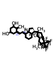 C=C1/C(=C\C=C2/CCC[C@]3(C)[C@@H]([C@@](C)(CC#CC(O)(C(F)(F)F)C(F)(F)F)CCCC(C)(C)O)CC[C@@H]23)C[C@@H](O)CC1O